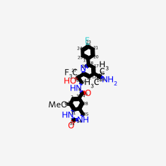 COc1cc(C(=O)NCC(O)(c2cc(C(C)(C)N)cc(-c3ccc(F)cc3)n2)C(F)(F)F)cc2c1NC(=O)NC2